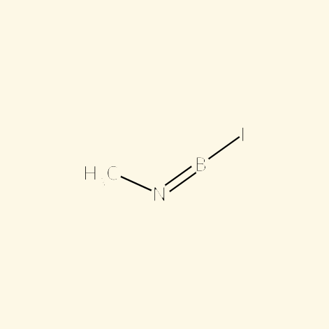 CN=BI